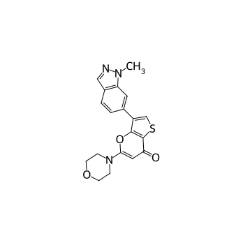 Cn1ncc2ccc(-c3csc4c(=O)cc(N5CCOCC5)oc34)cc21